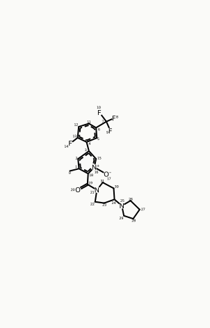 Cc1cc(-c2cc(C(F)(F)F)ccc2F)c[n+]([O-])c1C(=O)N1CCC(N2CCCC2)CC1